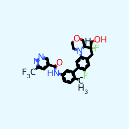 Cc1ccc(NC(=O)c2cnnc(C(F)(F)F)c2)cc1-c1cc2c(cc1F)C[C@@](F)(CO)[C@@H]1COCCN21